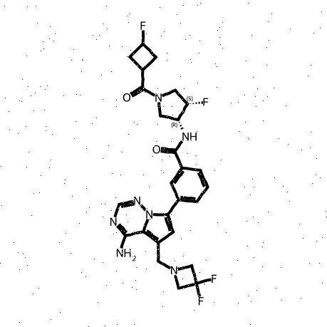 Nc1ncnn2c(-c3cccc(C(=O)N[C@@H]4CN(C(=O)C5CC(F)C5)C[C@@H]4F)c3)cc(CN3CC(F)(F)C3)c12